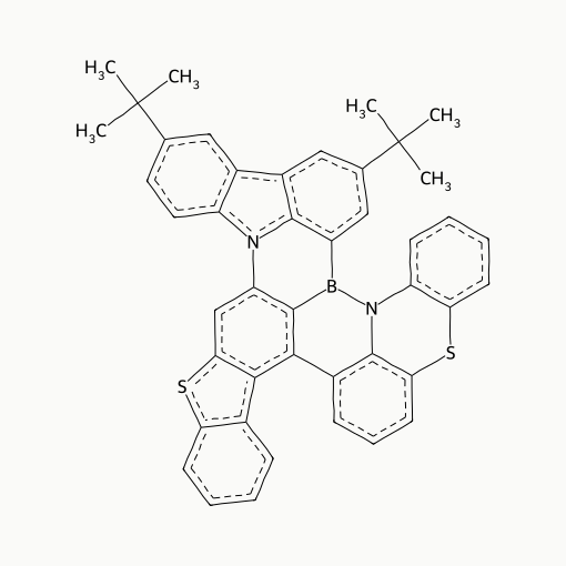 CC(C)(C)c1ccc2c(c1)c1cc(C(C)(C)C)cc3c1n2-c1cc2sc4ccccc4c2c2c1B3N1c3ccccc3Sc3cccc-2c31